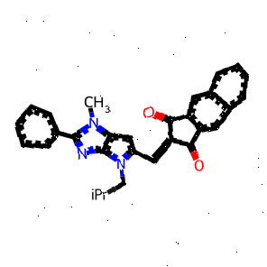 CC(C)Cn1c(C=C2C(=O)c3cc4ccccc4cc3C2=O)cc2c1nc(-c1ccccc1)n2C